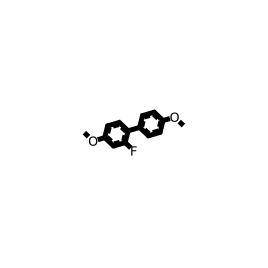 COc1ccc(-c2ccc(OC)cc2F)cc1